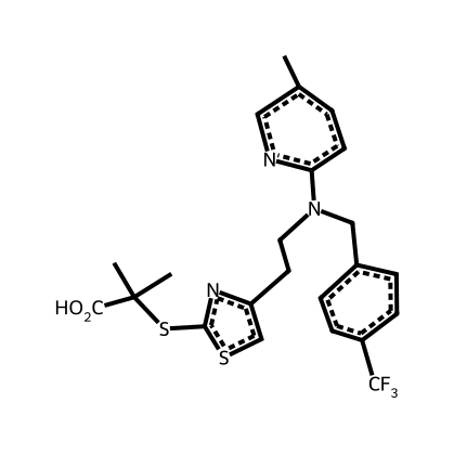 Cc1ccc(N(CCc2csc(SC(C)(C)C(=O)O)n2)Cc2ccc(C(F)(F)F)cc2)nc1